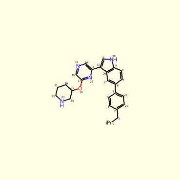 CC(C)Cc1ccc(-c2ccc3[nH]cc(-c4cncc(OC5CCCNC5)n4)c3c2)cc1